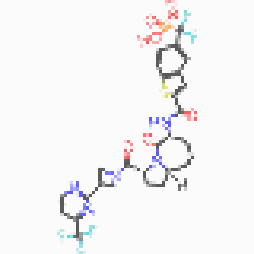 O=C(N[C@H]1CCC[C@H]2CC[C@@H](C(=O)N3CC(c4nccc(C(F)(F)F)n4)C3)N2C1=O)c1cc2cc(C(F)(F)P(=O)(O)O)ccc2s1